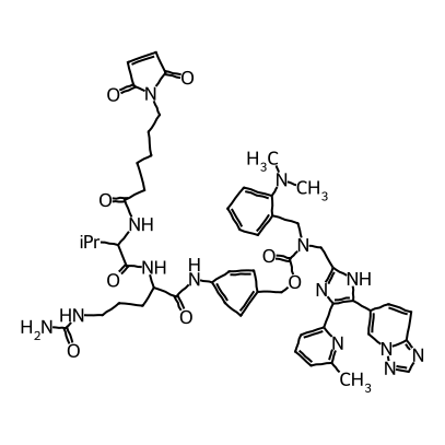 Cc1cccc(-c2nc(CN(Cc3ccccc3N(C)C)C(=O)OCc3ccc(NC(=O)C(CCCNC(N)=O)NC(=O)C(NC(=O)CCCCCN4C(=O)C=CC4=O)C(C)C)cc3)[nH]c2-c2ccc3ncnn3c2)n1